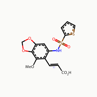 COc1c(/C=C/C(=O)O)c(NS(=O)(=O)c2cccs2)cc2c1OCO2